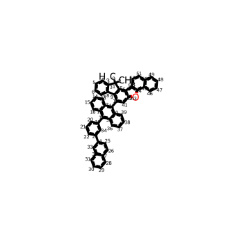 CC1(C)c2ccccc2-c2c(-c3c4ccccc4c(-c4cccc(-c5ccc6ccccc6c5)c4)c4ccccc34)cc3oc4c5ccccc5ccc4c3c21